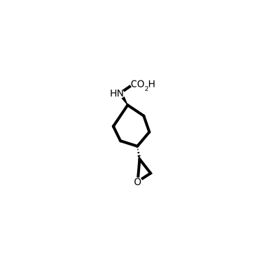 O=C(O)N[C@H]1CC[C@H](C2CO2)CC1